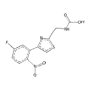 O=C(O)NCc1nc(-c2cc(F)ccc2[N+](=O)[O-])cs1